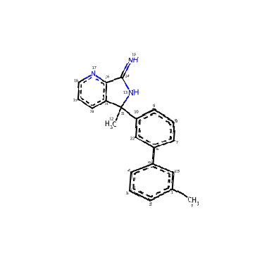 Cc1cccc(-c2cccc(C3(C)NC(=N)c4ncccc43)c2)c1